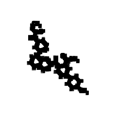 C=CC(=O)Nc1ccnc(-c2cccc3cnc(Nc4ccc(N5CCN(C)CC5)cc4C(N)=O)nc23)c1